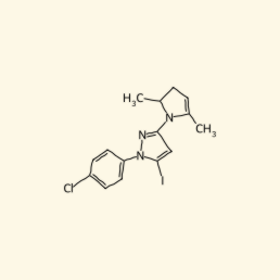 CC1=CCC(C)N1c1cc(I)n(-c2ccc(Cl)cc2)n1